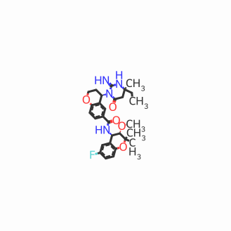 CC[C@]1(C)CC(=O)N([C@@H]2CCOc3ccc(C(=O)N[C@@H]4c5cc(F)ccc5OC(C)(C)[C@H]4OC)cc32)C(=N)N1